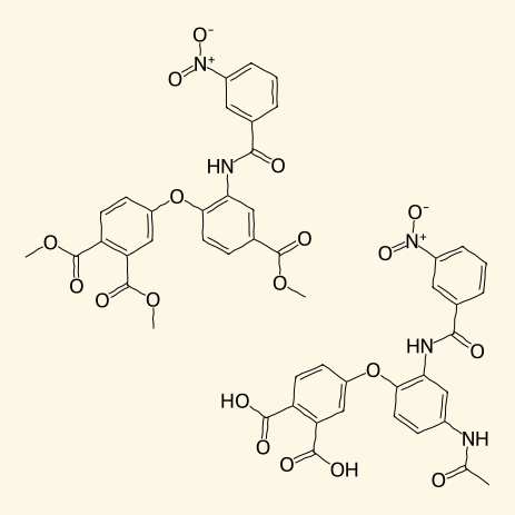 CC(=O)Nc1ccc(Oc2ccc(C(=O)O)c(C(=O)O)c2)c(NC(=O)c2cccc([N+](=O)[O-])c2)c1.COC(=O)c1ccc(Oc2ccc(C(=O)OC)c(C(=O)OC)c2)c(NC(=O)c2cccc([N+](=O)[O-])c2)c1